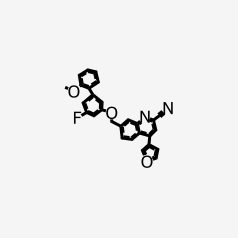 COc1ccccc1-c1cc(F)cc(OCc2ccc3c(-c4ccoc4)cc(C#N)nc3c2)c1